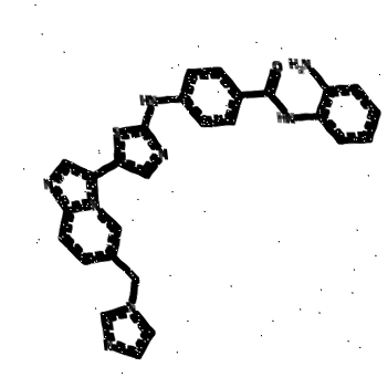 Nc1ccccc1NC(=O)c1ccc(Nc2ncc(-c3cnc4ccc(Cn5ccnc5)cn34)s2)cc1